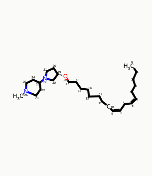 CCCCC/C=C\C/C=C\CCCCCCCCO[C@H]1CCN(C2CCN(C)CC2)C1